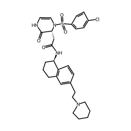 O=C(C[C@@H]1C(=O)NC=CN1S(=O)(=O)c1ccc(Cl)cc1)N[C@@H]1CCCc2cc(CCN3CCCCC3)ccc21